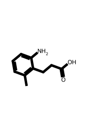 Cc1cccc(N)c1CCC(=O)O